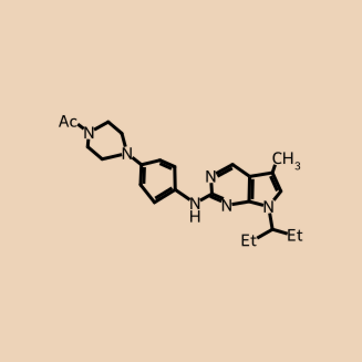 CCC(CC)n1cc(C)c2cnc(Nc3ccc(N4CCN(C(C)=O)CC4)cc3)nc21